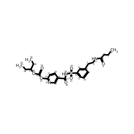 CCCC(=O)NCCc1cccc(S(=O)(=O)NC(=O)c2ccc(OC(=O)OC(CC)CC)nc2)c1